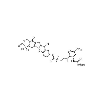 CCCCCCCC(=O)N[C@H](CC(N)=O)C(=O)NCCC(C)(C)C(=O)Oc1ccc2nc3c(c(CC)c2c1)Cn1c-3cc2c(c1=O)COC(=O)[C@]2(O)CC